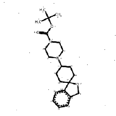 CC(C)(C)OC(=O)N1CCN(C2CCC3(CC2)OCc2ccccc23)CC1